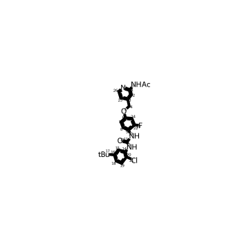 CC(=O)Nc1cc(COc2ccc(NC(=O)Nc3cc(C(C)(C)C)ccc3Cl)c(F)c2)ccn1